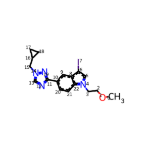 COCCn1cc(I)c2cc(-c3ncn(CC4CC4)n3)ccc21